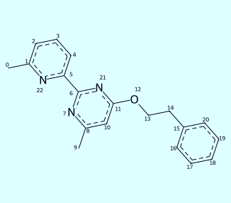 Cc1cccc(-c2nc(C)cc(OCCc3ccccc3)n2)n1